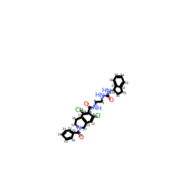 O=C(NCCNC(=O)c1c(Cl)cc2c(c1Cl)CCN(C(=O)c1ccccc1)C2)N[C@@H]1CCc2ccccc21